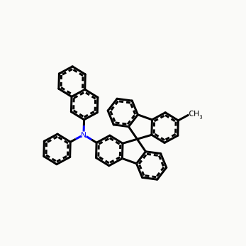 Cc1ccc2c(c1)-c1ccccc1C21c2ccccc2-c2ccc(N(c3ccccc3)c3ccc4ccccc4c3)cc21